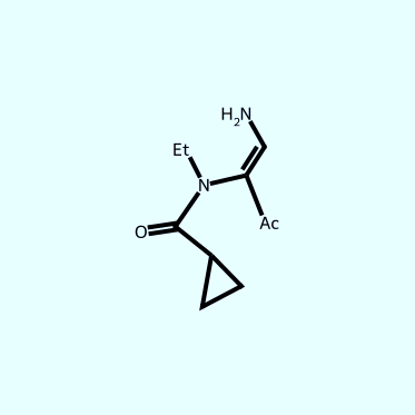 CCN(C(=O)C1CC1)/C(=C\N)C(C)=O